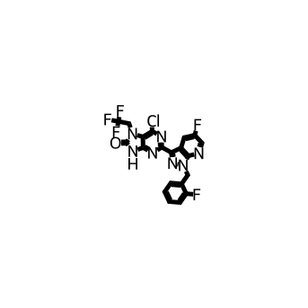 O=c1[nH]c2nc(-c3nn(Cc4ccccc4F)c4ncc(F)cc34)nc(Cl)c2n1CC(F)(F)F